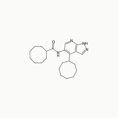 O=C(Nc1cnc2[nH]ncc2c1C1CCCCCCC1)C1CCCCCCC1